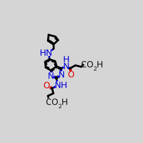 O=C(O)CCC(=O)Nc1nc(NC(=O)CCC(=O)O)c2cc(NCC3=CCC=C3)ccc2n1